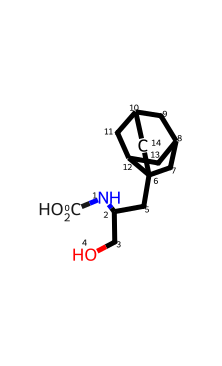 O=C(O)NC(CO)CC12CC3CC(CC1C3)C2